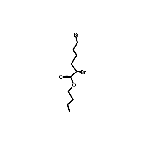 CCCCOC(=O)C(Br)CCCCBr